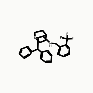 FC(F)(F)c1ccccc1CNC1C2CCN(CC2)C1C(c1ccccc1)c1ccccc1